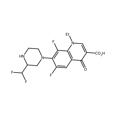 CCn1cc(C(=O)O)c(=O)c2cc(F)c(N3CCNC(C(F)F)C3)c(F)c21